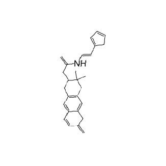 C=C1C=Cc2cc3c(cc2C1)CC(C)(C)C(CC(=C)N/C=C/C1=CC=CC1)C3